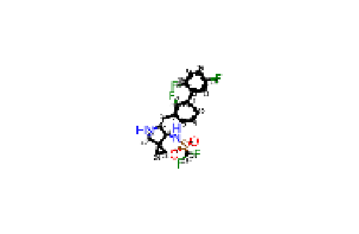 O=S(=O)(N[C@@H]1[C@H](Cc2cccc(-c3cc(F)ccc3F)c2F)NCC12CC2)C(F)F